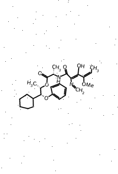 C=N/C(C(=O)N[C@@H](C)C(=O)O[C@@H](C)[C@H](Oc1ccccc1)C1CCCCC1)=C(O)\C(=C/C)OC